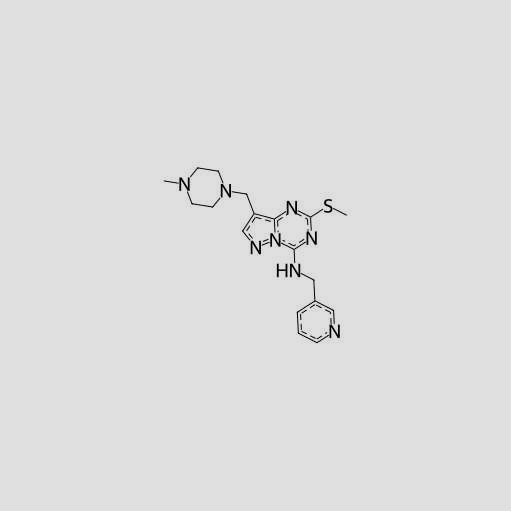 CSc1nc(NCc2cccnc2)n2ncc(CN3CCN(C)CC3)c2n1